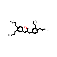 C=CCc1ccc([CH]C([C]=O)=Cc2ccc(CC=C)c(CC=C)c2)cc1CC=C